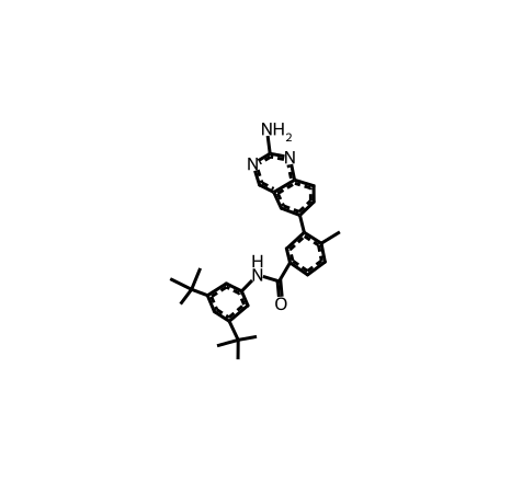 Cc1ccc(C(=O)Nc2cc(C(C)(C)C)cc(C(C)(C)C)c2)cc1-c1ccc2nc(N)ncc2c1